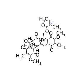 C/C=C(/C)C(=O)OC[C@H]1C2=C(C=C3[C@H]4C5=C(C(=O)C(C)=C(OC)C5=O)C(=O)[C@H](C(=O)N31)N4C)C(=O)C(C)=C(OC)C2=O